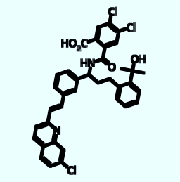 CC(C)(O)c1ccccc1CCC(NC(=O)c1cc(Cl)c(Cl)cc1C(=O)O)c1cccc(C=Cc2ccc3ccc(Cl)cc3n2)c1